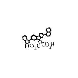 O=C(O)CCC1(CCC(=O)O)c2cc(-c3cccc4ccccc34)ccc2-c2ccc(-c3cccc4ccccc34)cc21